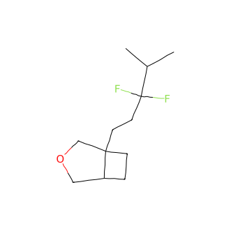 CC(C)C(F)(F)CCC12CCC1COC2